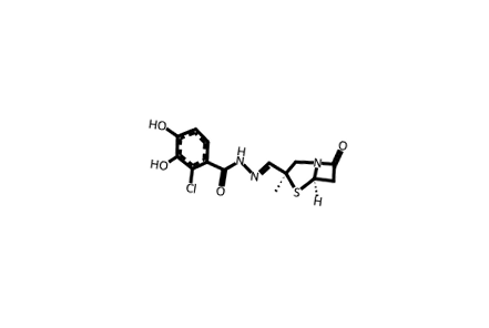 C[C@]1(/C=N/NC(=O)c2ccc(O)c(O)c2Cl)CN2C(=O)C[C@H]2S1